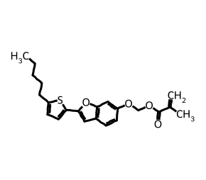 C=C(C)C(=O)OCOc1ccc2cc(-c3ccc(CCCCC)s3)oc2c1